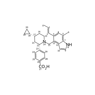 C/C=C/c1cc(C)c2[nH]ccc2c1CN1CC[C@@H](C2CC2)C[C@H]1c1ccc(C(=O)O)cc1